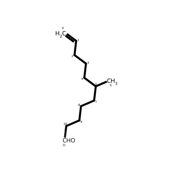 C=CCCCC(C)CCCCC=O